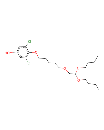 CCCCOC(COCCCCCOc1c(Cl)cc(O)cc1Cl)OCCCC